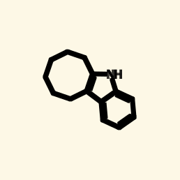 c1ccc2c3c([nH]c2c1)CCCCCC3